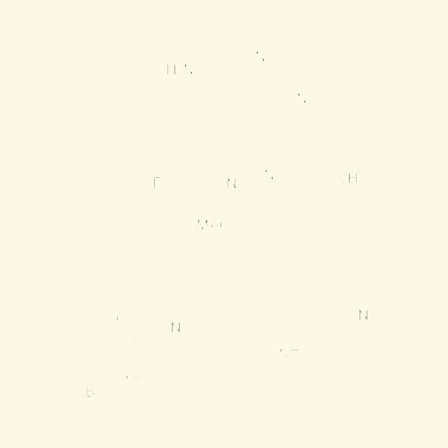 COc1c(C(C)n2nc(C(F)F)c3c(N)ncnc32)cc(C#N)c(C)c1C1CN(C(=O)OC(C)(C)C)C1